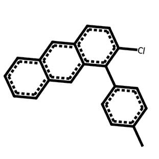 Cc1ccc(-c2c(Cl)ccc3cc4ccccc4cc23)cc1